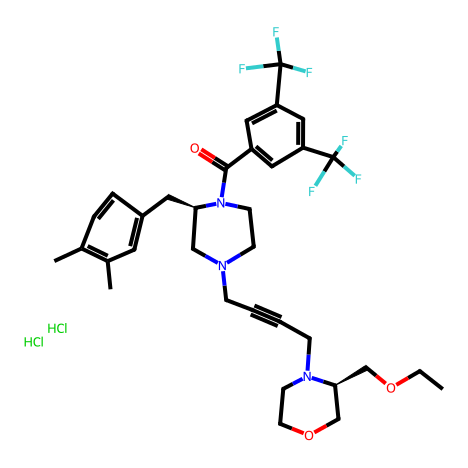 CCOC[C@H]1COCCN1CC#CCN1CCN(C(=O)c2cc(C(F)(F)F)cc(C(F)(F)F)c2)[C@H](Cc2ccc(C)c(C)c2)C1.Cl.Cl